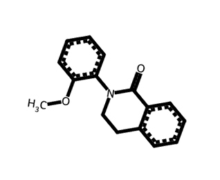 COc1ccccc1N1CCc2ccccc2C1=O